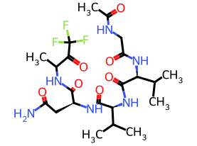 CC(=O)NCC(=O)N[C@H](C(=O)N[C@H](C(=O)N[C@@H](CC(N)=O)C(=O)NC(C)C(=O)C(F)(F)F)C(C)C)C(C)C